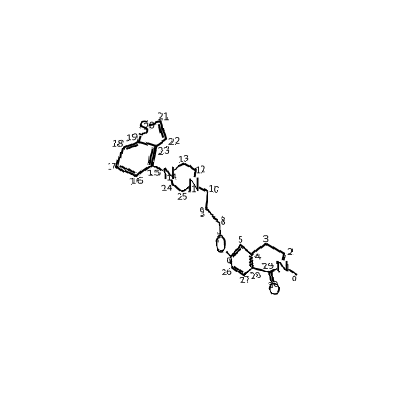 CN1CCc2cc(OCCCN3CCN(c4cccc5sccc45)CC3)ccc2C1=O